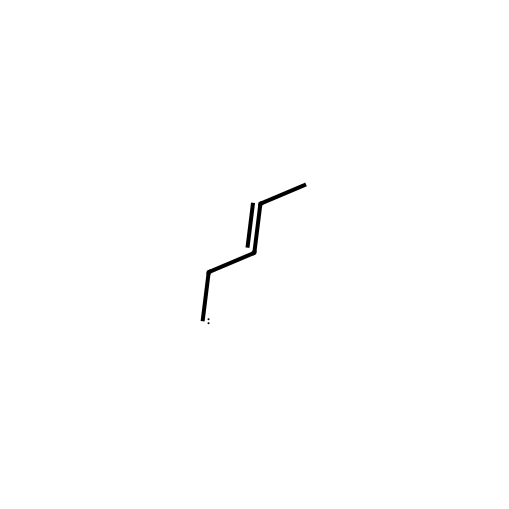 [CH]CC=CC